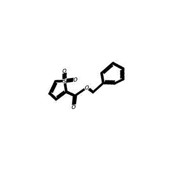 O=C(OCc1ccccc1)C1=CC=CS1(=O)=O